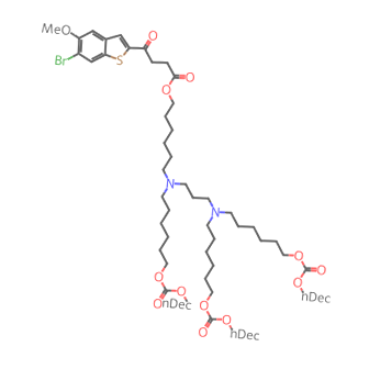 CCCCCCCCCCOC(=O)OCCCCCCN(CCCCCCOC(=O)CCC(=O)c1cc2cc(OC)c(Br)cc2s1)CCCN(CCCCCCOC(=O)OCCCCCCCCCC)CCCCCCOC(=O)OCCCCCCCCCC